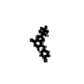 Cc1cc(=O)n2nc(C(F)(F)C(F)(F)F)nc2n1Cc1ccc(Cl)nc1